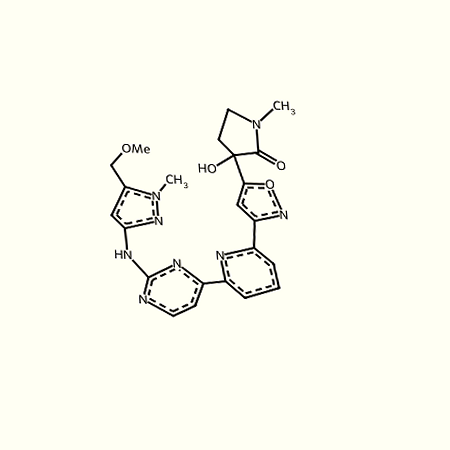 COCc1cc(Nc2nccc(-c3cccc(-c4cc(C5(O)CCN(C)C5=O)on4)n3)n2)nn1C